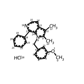 COc1cccc(Cn2c(C)c(C)c3ccnc(-c4ccccc4)c32)c1.Cl